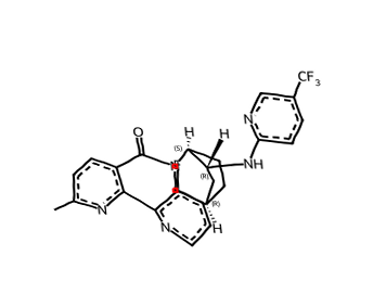 Cc1ccc(C(=O)N2C[C@@H]3CC[C@H]2[C@H](Nc2ccc(C(F)(F)F)cn2)C3)c(-c2ncccc2F)n1